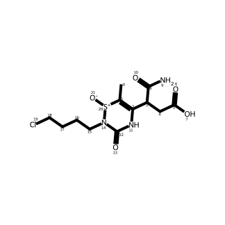 CC1=C(C(CC(=O)O)C(N)=O)NC(=O)N(CCCCCl)[S+]1[O-]